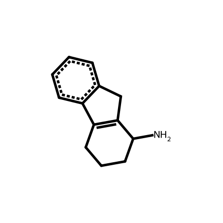 NC1CCCC2=C1Cc1ccccc12